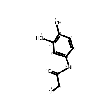 Cc1ccc(NC(=O)CCl)cc1O